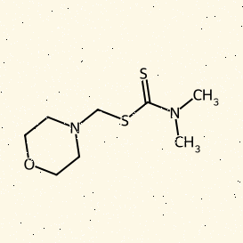 CN(C)C(=S)SCN1CCOCC1